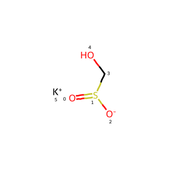 O=S([O-])CO.[K+]